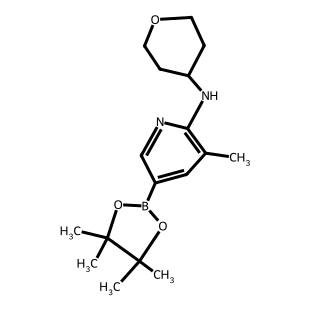 Cc1cc(B2OC(C)(C)C(C)(C)O2)cnc1NC1CCOCC1